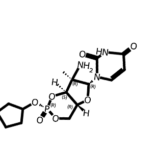 C[C@@]1(N)[C@@H]2O[P@@](=O)(OC3CCCC3)OC[C@H]2O[C@H]1n1ccc(=O)[nH]c1=O